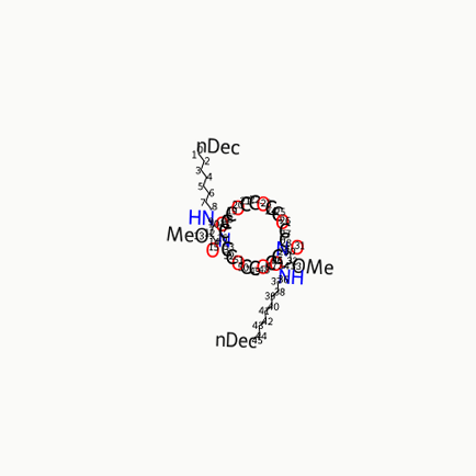 CCCCCCCCCCCCCCCCCCNC(=O)C(OC)C(=O)N1CCCOCCOCCOCCN(C(=O)C(OC)C(=O)NCCCCCCCCCCCCCCCCCC)CCOCCOCC1